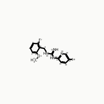 COc1cccc(F)c1CNC(=N)Nc1ccc(I)cn1